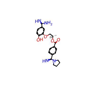 C[C@@H](COc1cc(C(=N)N)ccc1O)OC(=O)c1ccc(C(=N)N2CCCC2)cc1